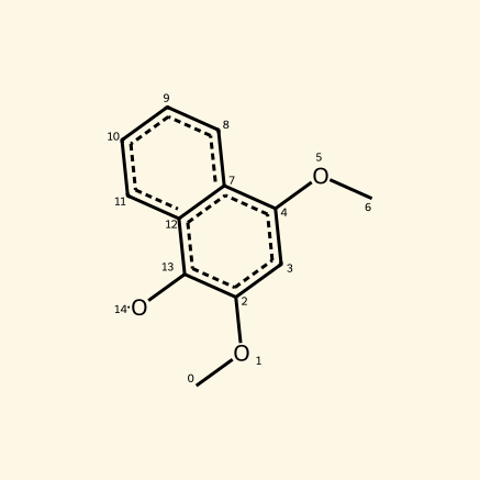 COc1cc(OC)c2ccccc2c1[O]